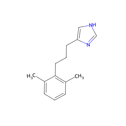 Cc1cccc(C)c1CCCc1c[nH]cn1